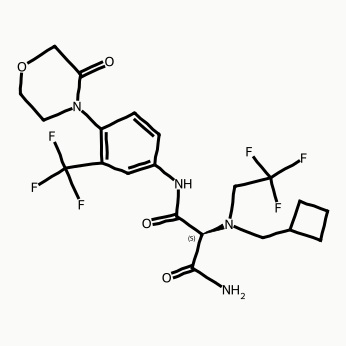 NC(=O)[C@@H](C(=O)Nc1ccc(N2CCOCC2=O)c(C(F)(F)F)c1)N(CC1CCC1)CC(F)(F)F